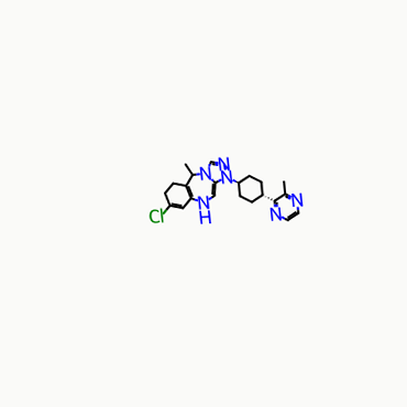 Cc1nccnc1[C@H]1CC[C@H](N2N=CN3C2=CNC2=C(CCC(Cl)=C2)C3C)CC1